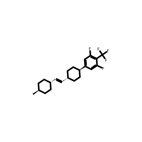 C[C@H]1CC[C@H](C=C[C@H]2CC[C@H](c3cc(F)c(C(F)(F)F)c(F)c3)CC2)CC1